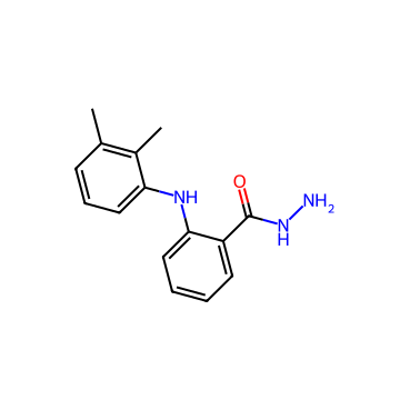 Cc1cccc(Nc2ccccc2C(=O)NN)c1C